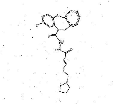 O=C(CCCCN1CCCC1)NNC(=O)N1Cc2ccccc2Oc2ccc(Cl)cc21